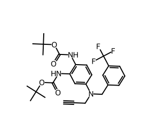 C#CCN(Cc1cccc(C(F)(F)F)c1)c1ccc(NC(=O)OC(C)(C)C)c(NC(=O)OC(C)(C)C)c1